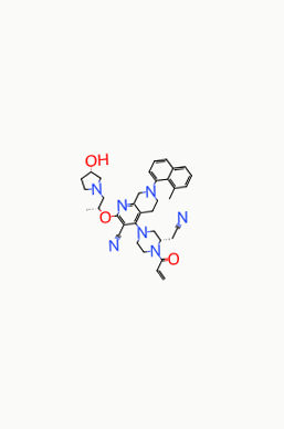 C=CC(=O)N1CCN(c2c(C#N)c(O[C@H](C)CN3CC[C@H](O)C3)nc3c2CCN(c2cccc4cccc(C)c24)C3)C[C@@H]1CC#N